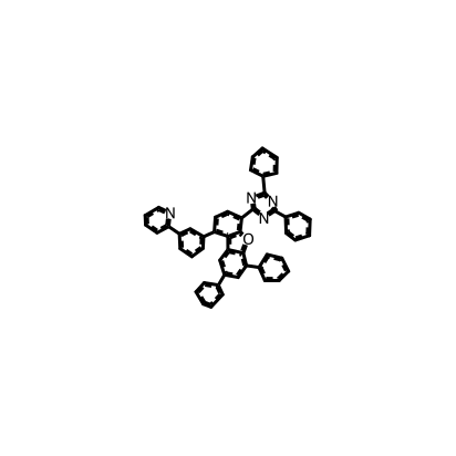 c1ccc(-c2cc(-c3ccccc3)c3oc4c(-c5nc(-c6ccccc6)nc(-c6ccccc6)n5)ccc(-c5cccc(-c6ccccn6)c5)c4c3c2)cc1